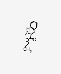 CCCOC(=O)C(Cc1ccccc1)NI